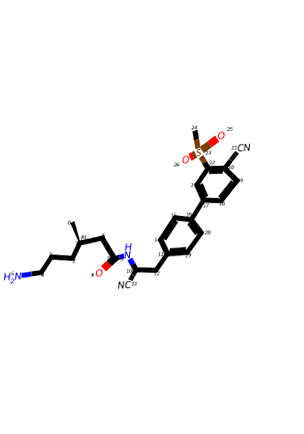 C[C@H](CCCN)CC(=O)NC(C#N)Cc1ccc(-c2ccc(C#N)c(S(C)(=O)=O)c2)cc1